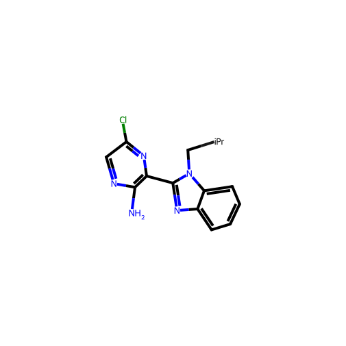 CC(C)Cn1c(-c2nc(Cl)cnc2N)nc2ccccc21